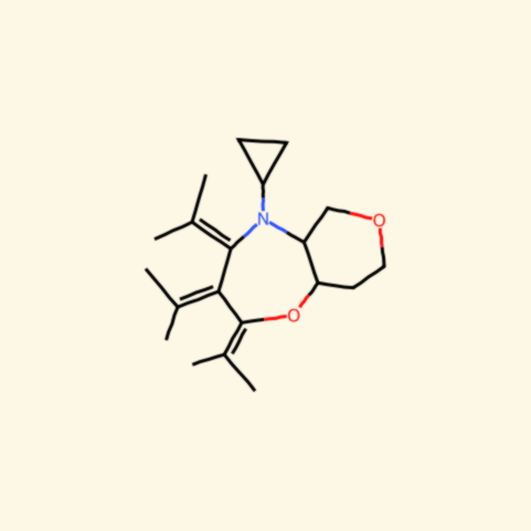 CC(C)=C1OC2CCOCC2N(C2CC2)C(=C(C)C)C1=C(C)C